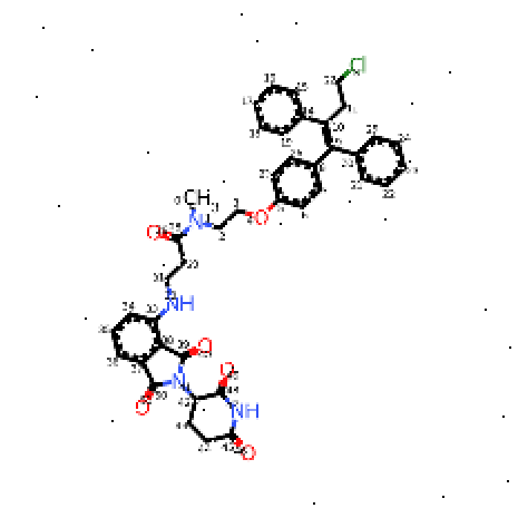 CN(CCOc1ccc(C(=C(CCCl)c2ccccc2)c2ccccc2)cc1)C(=O)CCNc1cccc2c1C(=O)N(C1CCC(=O)NC1=O)C2=O